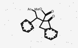 COC(=O)C1(C(CC(C)=O)c2ccccc2)Cc2ccccc2C1=O